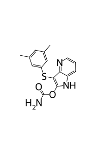 Cc1cc(C)cc(Sc2c(OC(N)=O)[nH]c3cccnc23)c1